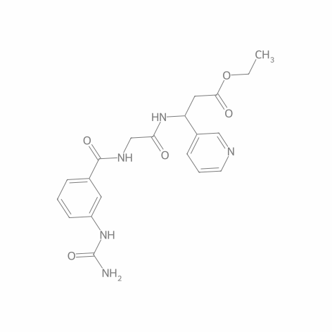 CCOC(=O)CC(NC(=O)CNC(=O)c1cccc(NC(N)=O)c1)c1cccnc1